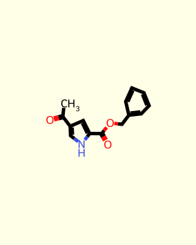 CC(=O)c1c[nH]c(C(=O)OCc2ccccc2)c1